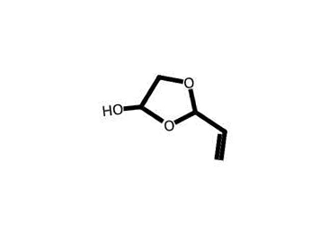 C=CC1OCC(O)O1